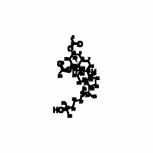 CC(=O)O[C@@H]1CC2=CC=C3[C@@H]4CC[C@H](C(C)SCCCC(C)(C)O)[C@@]4(C)CC[C@@H]3[C@@]2(C)[C@@H](OC(C)=O)C1